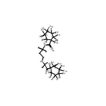 CC(C)(CCOC(C)(C)C(=O)C1(F)C(F)(F)C(F)(F)C(F)(F)C(F)(F)C1(F)F)OC(=O)C1(F)C(F)(F)C(F)(F)C(F)(F)C(F)(F)C1(F)F